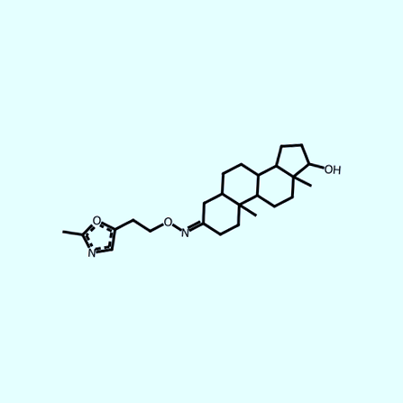 Cc1ncc(CCON=C2CCC3(C)C(CCC4C5CCC(O)C5(C)CCC43)C2)o1